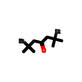 CCC(C)(C)CC(=O)CC(C)(C)CC